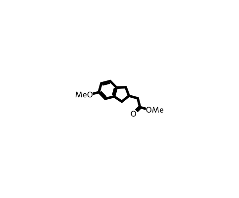 COC(=O)CC1Cc2ccc(OC)cc2C1